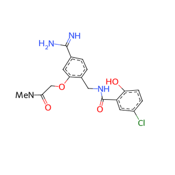 CNC(=O)COc1cc(C(=N)N)ccc1CNC(=O)c1cc(Cl)ccc1O